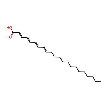 CCCCCCCCCCCCC/C=C/C=C/C=C/C=C/C(=O)O